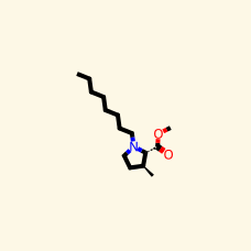 CCCCCCCCN1CC[C@H](C)[C@H]1C(=O)OC